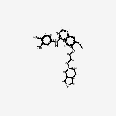 COc1cc2ncnc(Nc3ccc(F)c(Cl)c3)c2cc1OCCCN1CCC2COCC2C1